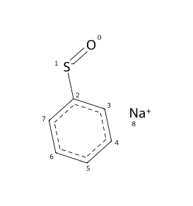 O=[S-]c1ccccc1.[Na+]